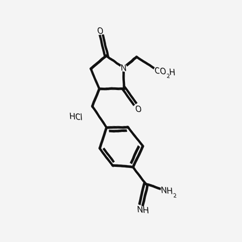 Cl.N=C(N)c1ccc(CC2CC(=O)N(CC(=O)O)C2=O)cc1